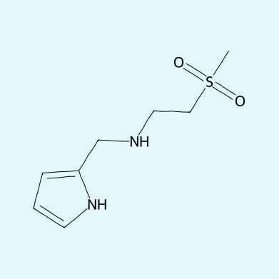 CS(=O)(=O)CCNCc1ccc[nH]1